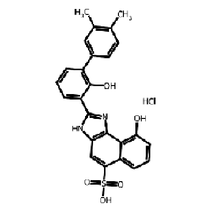 Cc1ccc(-c2cccc(-c3nc4c(cc(S(=O)(=O)O)c5cccc(O)c54)[nH]3)c2O)cc1C.Cl